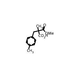 COC(=O)C(C)(Cc1ccc(C)cc1)C(=O)O